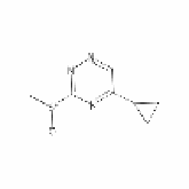 C[S+]([O-])c1nncc(C2CC2)n1